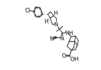 CC(C)(/C(=N\C#N)NC1C2CC3CC1CC(C(=O)O)(C3)C2)N1C[C@@H]2C[C@@H](c3ccc(Cl)cc3)[C@@H]2C1